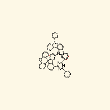 c1ccc(-c2nc(-c3ccccc3)nc(-c3cccc4c3-c3cc(-n5c6ccccc6c6ccc7c(c8ccccc8n7-c7ccccc7)c65)ccc3C43c4ccccc4Oc4ccccc43)n2)cc1